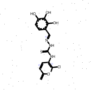 C=C(Cl)/C=C\C(NC(=S)N/N=C/c1ccc(O)c(O)c1O)=C(/C)Cl